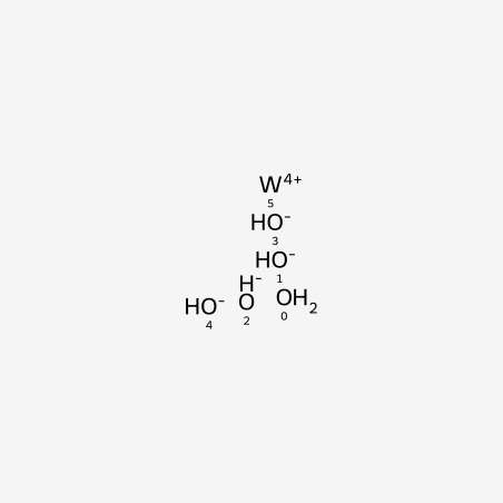 O.[OH-].[OH-].[OH-].[OH-].[W+4]